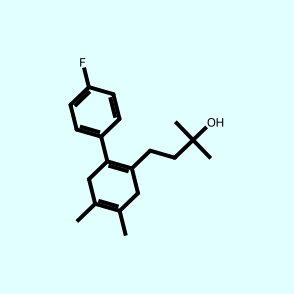 CC1=C(C)CC(c2ccc(F)cc2)=C(CCC(C)(C)O)C1